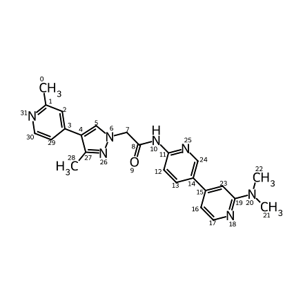 Cc1cc(-c2cn(CC(=O)Nc3ccc(-c4ccnc(N(C)C)c4)cn3)nc2C)ccn1